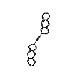 C(#Cc1ccc2cc3ccccc3cc2c1)c1ccc2cc3ccccc3cc2c1